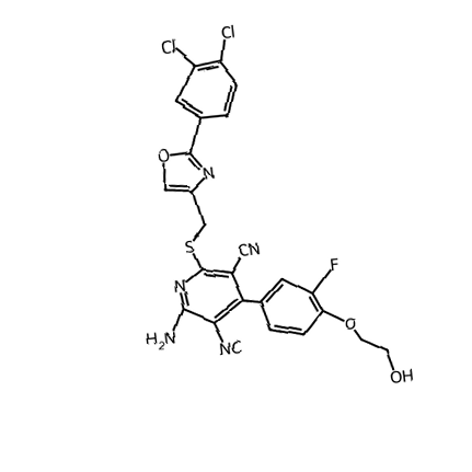 [C-]#[N+]c1c(N)nc(SCc2coc(-c3ccc(Cl)c(Cl)c3)n2)c(C#N)c1-c1ccc(OCCO)c(F)c1